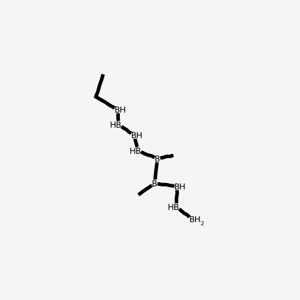 BBBB(C)B(C)BBBBCC